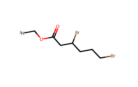 [2H]COC(=O)CC(Br)CCCBr